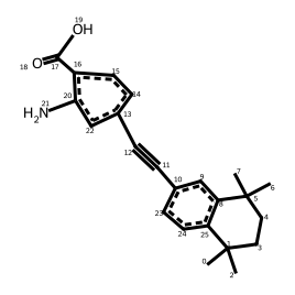 CC1(C)CCC(C)(C)c2cc(C#Cc3ccc(C(=O)O)c(N)c3)ccc21